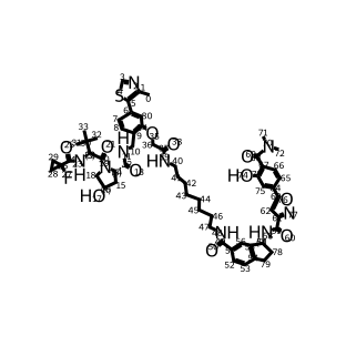 Cc1ncsc1-c1ccc(CNC(=O)[C@@H]2C[C@@H](O)CN2C(=O)[C@@H](NC(=O)C2(F)CC2)C(C)(C)C)c(OCC(=O)NCCCCCCCCNC(=O)c2ccc3c(c2)[C@H](NC(=O)c2cc(-c4ccc(C(=O)N(C)C)c(O)c4)on2)CC3)c1